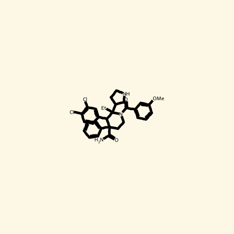 CCC1(C2CCNC2)C(c2ccc(Cl)c(Cl)c2)C(C(N)=O)(c2ccccc2)CCN1C(=O)c1cccc(OC)c1